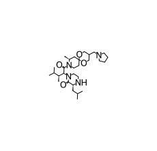 CC(C)C[C@@H]1NCCN([C@H](C(=O)N2CCC3(C[C@@H]2C)OCC(CN2CCCC2)CO3)[C@@H](C)C(C)C)C1=O